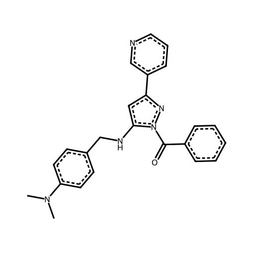 CN(C)c1ccc(CNc2cc(-c3cccnc3)nn2C(=O)c2ccccc2)cc1